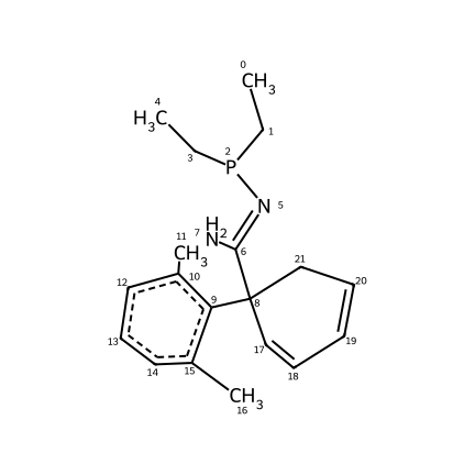 CCP(CC)N=C(N)C1(c2c(C)cccc2C)C=CC=CC1